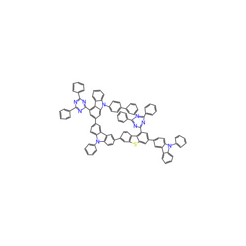 c1ccc(-c2ccc(-n3c4ccccc4c4c(-c5nc(-c6ccccc6)nc(-c6ccccc6)n5)cc(-c5ccc6c(c5)c5cc(-c7ccc8c(c7)sc7cc(-c9ccc%10c(c9)c9ccccc9n%10-c9ccccc9)cc(-c9nc(-c%10ccccc%10)nc(-c%10ccccc%10)n9)c78)ccc5n6-c5ccccc5)cc43)cc2)cc1